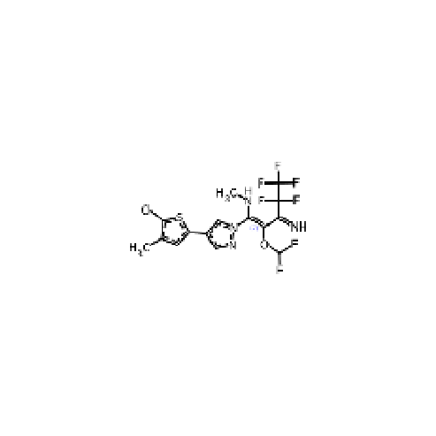 CN/C(=C(/OC(F)F)C(=N)C(F)(F)C(F)(F)F)n1cc(-c2cc(C)c(Cl)s2)cn1